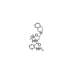 CC(C)(C)[Si](C)(C)OC(CNC(=O)c1ccccc1N)CN1CCc2ccccc2C1